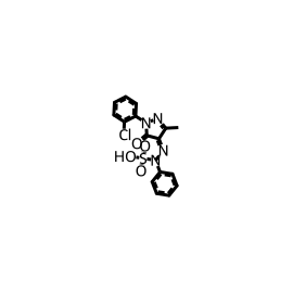 CC1=NN(c2ccccc2Cl)C(=O)C1=NN(c1ccccc1)S(=O)(=O)O